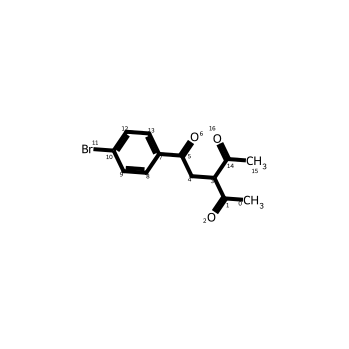 CC(=O)C(CC(=O)c1ccc(Br)cc1)C(C)=O